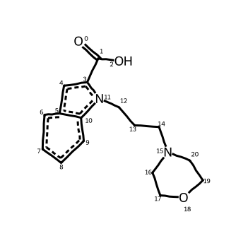 O=C(O)c1cc2ccccc2n1CCCN1CCOCC1